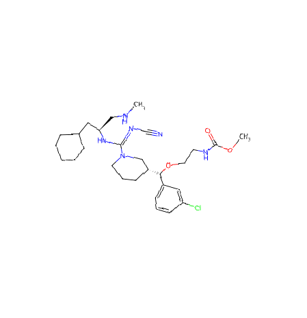 CNC[C@H](CC1CCCCC1)NC(=NC#N)N1CCC[C@@H](C(OCCNC(=O)OC)c2cccc(Cl)c2)C1